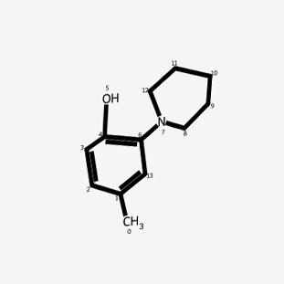 Cc1ccc(O)c(N2CCCCC2)c1